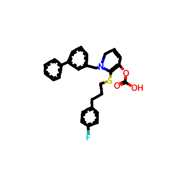 O=C(O)OC1=C(SCCCc2ccc(F)cc2)N(Cc2cccc(-c3ccccc3)c2)CC=C1